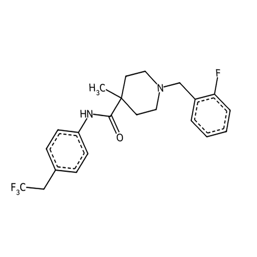 CC1(C(=O)Nc2ccc(CC(F)(F)F)cc2)CCN(Cc2ccccc2F)CC1